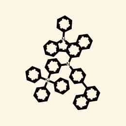 c1ccc(-n2c3ccccc3c3c(N(c4ccc(-c5cccc6ccccc56)cc4)c4cccc([Si](c5ccccc5)(c5ccccc5)c5ccccc5)c4)cc4ccccc4c32)cc1